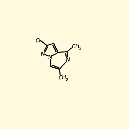 Cc1cn2nc(Cl)cc2c(C)n1